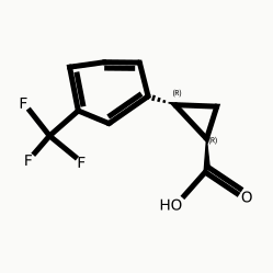 O=C(O)[C@@H]1C[C@H]1c1cccc(C(F)(F)F)c1